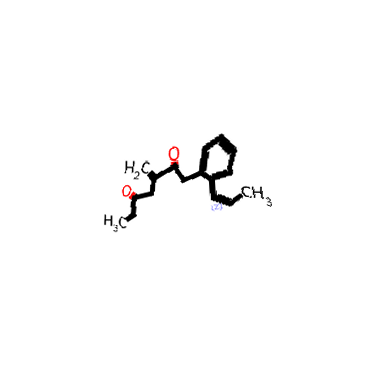 C=C(CC(=O)CC)C(=O)Cc1ccccc1/C=C\C